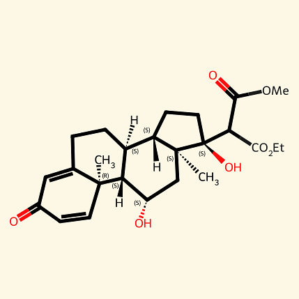 CCOC(=O)C(C(=O)OC)[C@@]1(O)CC[C@H]2[C@@H]3CCC4=CC(=O)C=C[C@]4(C)[C@H]3[C@@H](O)C[C@@]21C